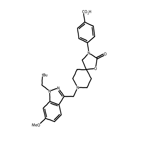 COc1ccc2c(CN3CCC4(CC3)CN(c3ccc(C(=O)O)cc3)C(=O)O4)nn(CC(C)(C)C)c2c1